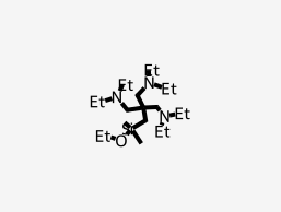 CCO[Si](C)(C)CC(CN(CC)CC)(CN(CC)CC)CN(CC)CC